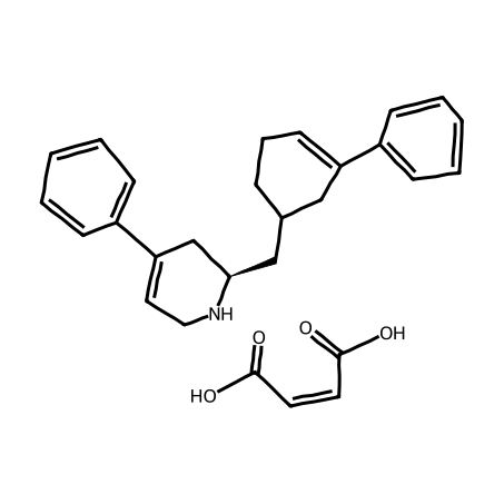 C1=C(c2ccccc2)CC(C[C@@H]2CC(c3ccccc3)=CCN2)CC1.O=C(O)/C=C\C(=O)O